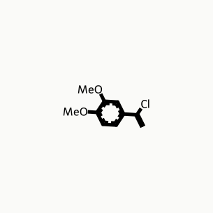 C=C(Cl)c1ccc(OC)c(OC)c1